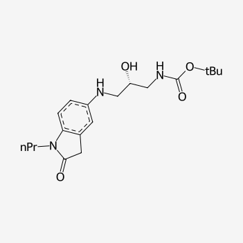 CCCN1C(=O)Cc2cc(NC[C@H](O)CNC(=O)OC(C)(C)C)ccc21